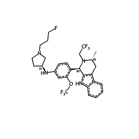 C[C@@H]1Cc2c([nH]c3ccccc23)[C@@H](c2ccc(N[C@H]3CCN(CCCF)C3)cc2OC(F)(F)F)N1CC(F)(F)F